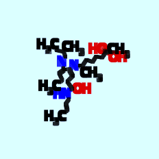 C=CC(C)/C=N/C(=C/CC)C(=C\CC(O)NC/C=C/C)/N=C(\C)CCCCC(C)(O)O